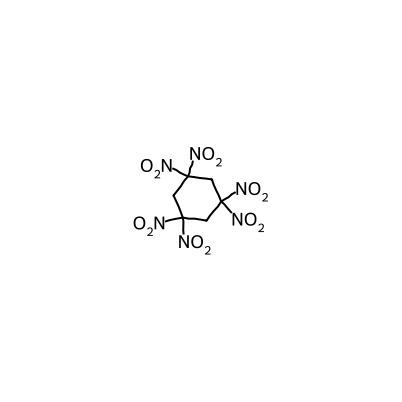 O=[N+]([O-])C1([N+](=O)[O-])CC([N+](=O)[O-])([N+](=O)[O-])CC([N+](=O)[O-])([N+](=O)[O-])C1